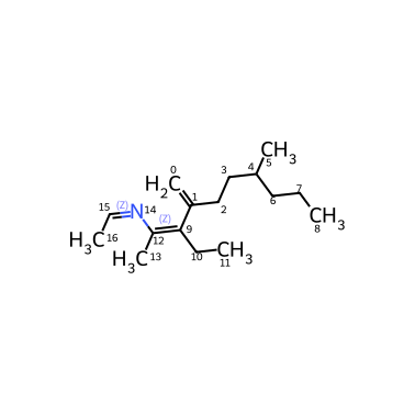 C=C(CCC(C)CCC)/C(CC)=C(C)\N=C/C